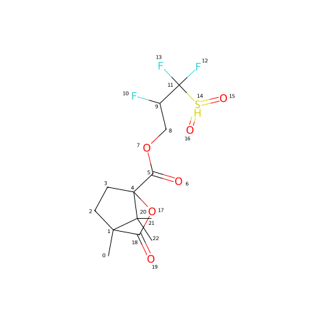 CC12CCC(C(=O)OCC(F)C(F)(F)[SH](=O)=O)(OC1=O)C2(C)C